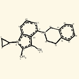 Cc1c(C)n(C2CC2)c2ccnc(N3CCc4ccccc4C3)c12